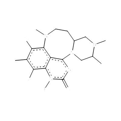 Cc1c(F)c2c3c(nc(=O)n(I)c3c1F)N1CC(C)N(C)CC1CCN2C